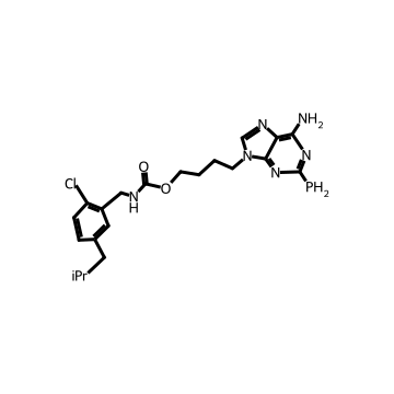 CC(C)Cc1ccc(Cl)c(CNC(=O)OCCCCn2cnc3c(N)nc(P)nc32)c1